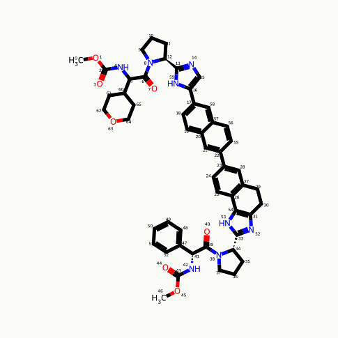 COC(=O)NC(C(=O)N1CCC[C@H]1c1ncc(-c2ccc3cc(-c4ccc5c(c4)CCc4nc([C@@H]6CCCN6C(=O)[C@H](NC(=O)OC)c6ccccc6)[nH]c4-5)ccc3c2)[nH]1)C1CCOCC1